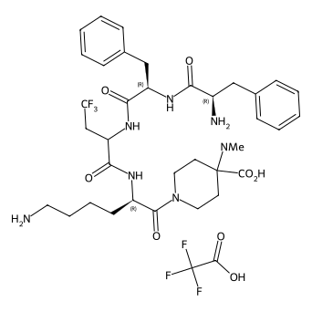 CNC1(C(=O)O)CCN(C(=O)[C@@H](CCCCN)NC(=O)C(CC(F)(F)F)NC(=O)[C@@H](Cc2ccccc2)NC(=O)[C@H](N)Cc2ccccc2)CC1.O=C(O)C(F)(F)F